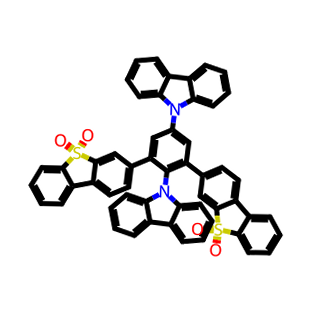 O=S1(=O)c2ccccc2-c2ccc(-c3cc(-n4c5ccccc5c5ccccc54)cc(-c4ccc5c(c4)S(=O)(=O)c4ccccc4-5)c3-n3c4ccccc4c4ccccc43)cc21